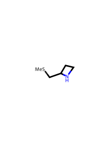 CSCC1CCN1